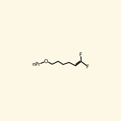 CC[CH]OCCCCC=C(F)F